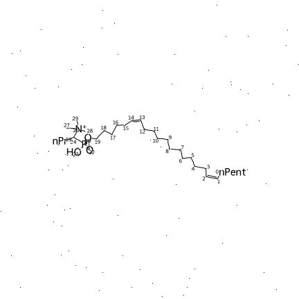 CCCCC/C=C\CCCCCCCCCC/C=C\CCCCCOP(=O)(O)C(CCC)[N+](C)(C)C